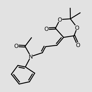 CC(=O)N(/C=C/C=C1C(=O)OC(C)(C)OC1=O)c1ccccc1